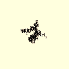 Cl.Cl.NC(=O)C1CN(CC(=O)Nc2c(Cl)cccc2Cl)CCN1CCCC(c1ccc(F)cc1)c1cccnc1.O